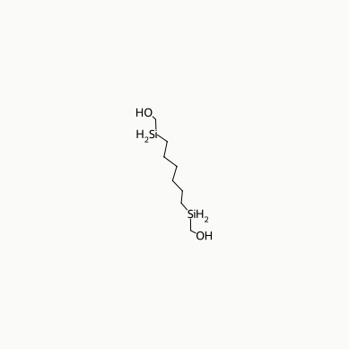 OC[SiH2]CCCCCC[SiH2]CO